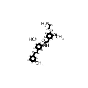 COc1cc(CC(=O)Nc2cccc(CCc3cccc(C)c3)c2)ccc1OCCN.Cl